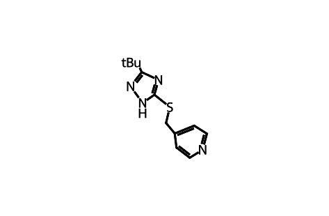 CC(C)(C)c1n[nH]c(SCc2ccncc2)n1